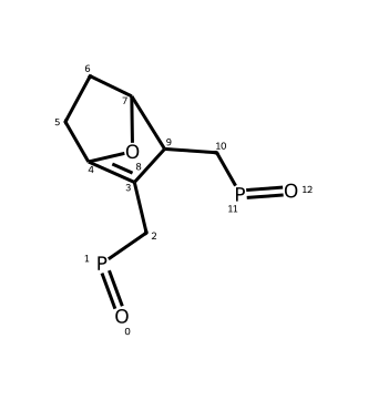 O=PCC1=C2CCC(O2)C1CP=O